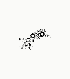 Cc1cc(C)c(S(=O)(=O)Oc2ccc(C(O)CN(C)C(=O)OC(C)(C)C)cc2)c(C)c1